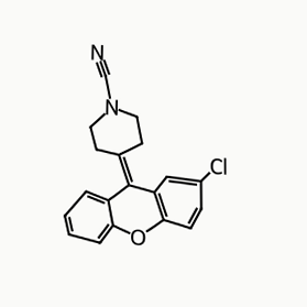 N#CN1CCC(=C2c3ccccc3Oc3ccc(Cl)cc32)CC1